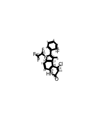 Cc1c(-c2ccccc2F)n(C(F)C(F)F)c2ccc3[nH]c(=O)cc(Cl)c3c12